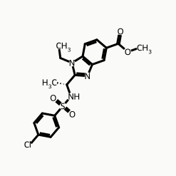 CCn1c([C@@H](C)NS(=O)(=O)c2ccc(Cl)cc2)nc2cc(C(=O)OC)ccc21